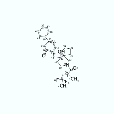 C[C@H](CC(C)(F)F)C(=O)N1CC[C@@](O)(Cn2cnc(-c3ccccc3)cc2=O)C2(CCCC2)C1